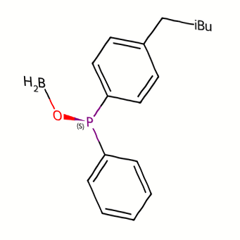 BO[P@](c1ccccc1)c1ccc(CC(C)CC)cc1